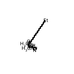 CCC=CCC=CCC=CCC=CCC=CCC=CCCC(=O)OC(C)CC(C)(C)OC(=O)c1cccnc1